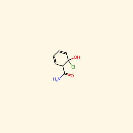 NC(=O)C1C=CC=CC1(O)Cl